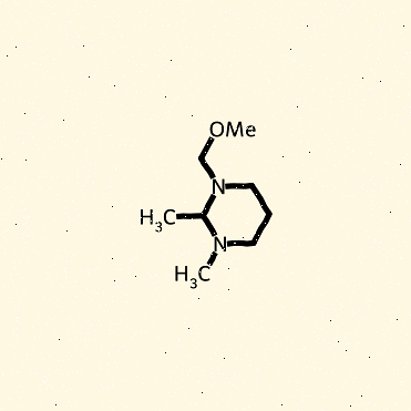 COCN1CCCN(C)C1C